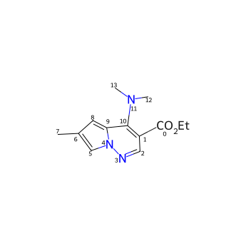 CCOC(=O)c1cnn2cc(C)cc2c1N(C)C